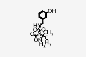 CC(C)(C)N(C(=O)O)S(=O)(=O)NCc1cccc(O)c1